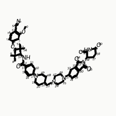 COc1cc(OC2C(C)(C)C(NC(=O)c3ccc(N4CCC(CN5CCN(c6ccc7c(c6)C(=O)N(C6CCC(=O)NC6=O)C7=O)CC5)CC4)cc3)C2(C)C)ccc1C#N